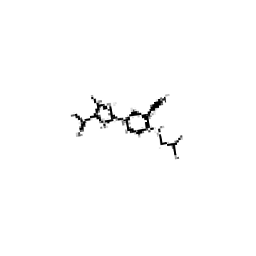 CC(=O)c1sc(-c2ccc(OCC(C)C)c(C#N)c2)nc1C